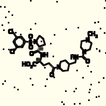 CN1CCN(C(=O)NCC2CCN(C(=O)CC[C@H](NC(=O)[C@H]3CCCN3S(=O)(=O)c3cc(Cl)cc(Cl)c3)C(=O)O)CC2)CC1